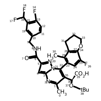 Cc1nc2cc(C(=O)NCc3ccc(F)c(C(F)F)c3)nn2c(-c2cc(F)c3c(c2C)CCCO3)c1[C@H](OC(C)(C)C)C(=O)O